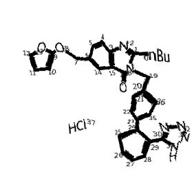 CCCCc1nc2ccc(COc3ccco3)cc2c(=O)n1Cc1ccc(-c2ccccc2-c2nnn[nH]2)cc1.Cl